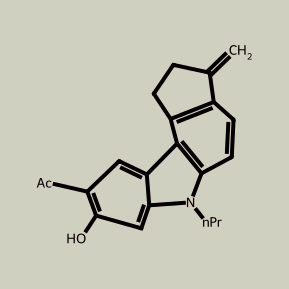 C=C1CCc2c1ccc1c2c2cc(C(C)=O)c(O)cc2n1CCC